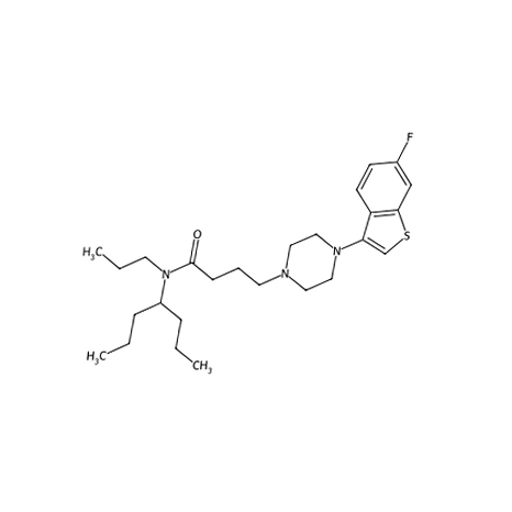 CCCC(CCC)N(CCC)C(=O)CCCN1CCN(c2csc3cc(F)ccc23)CC1